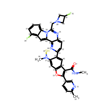 CNC(=O)c1c(-c2ccc(C)nc2)oc2cc(N(C)S)c(-c3ccc4nc(CN5CC(F)C5)n5c6cccc(F)c6cc5c4n3)cc12